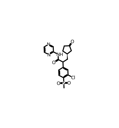 CS(=O)(=O)c1ccc(C(C[C@H]2CCC(=O)C2)C(=O)Nc2cnccn2)cc1Cl